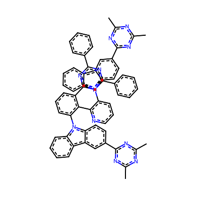 Cc1nc(C)nc(-c2ccc3c(c2)c2ccccc2n3-c2cccnc2-c2c(-c3nc(-c4ccccc4)nc(-c4ccccc4)n3)cccc2-n2c3ccccc3c3cc(-c4nc(C)nc(C)n4)ccc32)n1